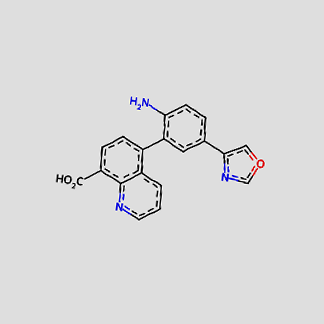 Nc1ccc(-c2cocn2)cc1-c1ccc(C(=O)O)c2ncccc12